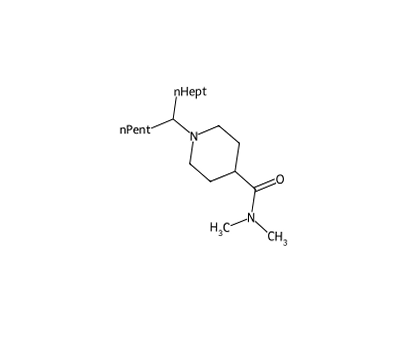 CCCCCCCC(CCCCC)N1CCC(C(=O)N(C)C)CC1